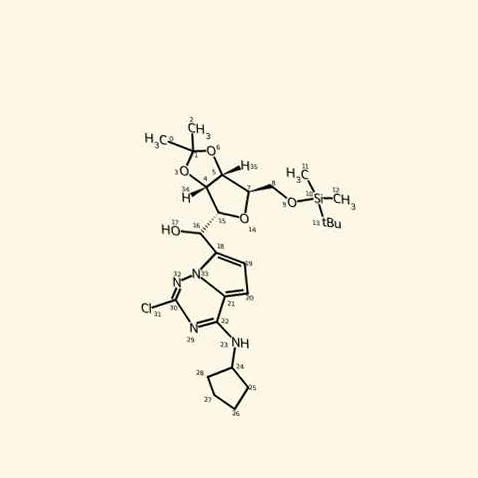 CC1(C)O[C@@H]2[C@H](O1)[C@@H](CO[Si](C)(C)C(C)(C)C)O[C@@H]2C(O)c1ccc2c(NC3CCCC3)nc(Cl)nn12